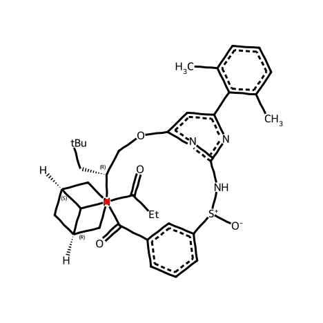 CCC(=O)N1C[C@H]2C[C@@H](C1)C2N1C(=O)c2cccc(c2)[S+]([O-])Nc2nc(cc(-c3c(C)cccc3C)n2)OC[C@H]1CC(C)(C)C